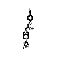 Cn1nnc(N2CC3CC(CN(CC(O)COc4ccc(C#N)cc4)C3)C2)n1